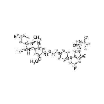 COc1cc2c(N[C@H](C)c3cccc(Br)c3)nc(C)nc2cc1OCCCN1CCC(c2cc(F)cc3c2CN(C2CCC(=O)NC2=O)C3=O)CC1